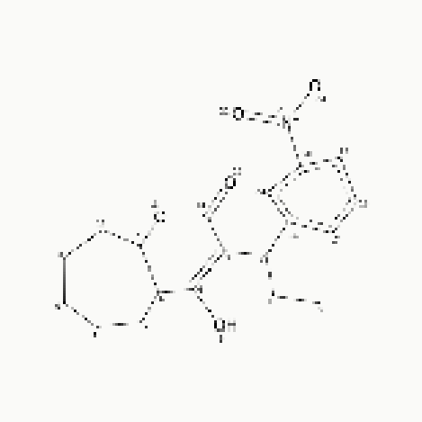 CCC(C1=C(O)C2CCCCCC2OC1=O)c1cccc([N+](=O)[O-])c1